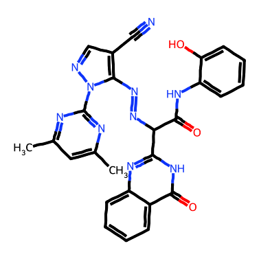 Cc1cc(C)nc(-n2ncc(C#N)c2N=NC(C(=O)Nc2ccccc2O)c2nc3ccccc3c(=O)[nH]2)n1